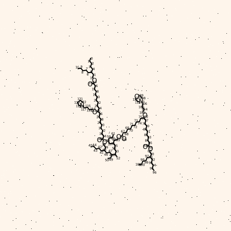 CCCCCC(CCCCC)CCOC(=O)CCCCCCCCCC(CCCCCCCCCC(=O)OCCC(CCCCC)CCC(CC)C(C)CCCC(CCCCC)CCOC(=O)CCCCCCCCCC(CCCCCCCCCC(=O)OCCC(CCCCC)CCCCC)OCCCCN1CCOCC1)OCCCCN1CCCC1